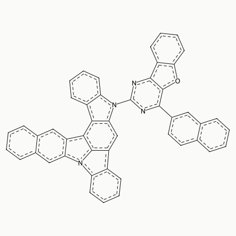 c1ccc2cc(-c3nc(-n4c5ccccc5c5c6c7cc8ccccc8cc7n7c8ccccc8c(cc54)c67)nc4c3oc3ccccc34)ccc2c1